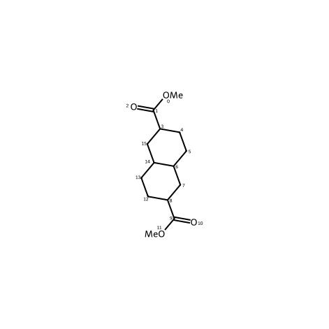 COC(=O)C1CCC2CC(C(=O)OC)CCC2C1